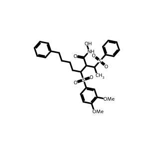 COc1ccc(S(=O)(=O)C(CCCCc2ccccc2)C(C(=O)NO)C(C)S(=O)(=O)c2ccccc2)cc1OC